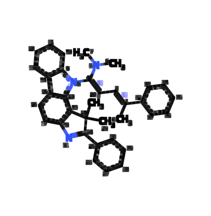 C/C(=C\C=C(/N(C)C)n1c2ccccc2c2ccc3c(c21)C(C)(C)C(c1ccccc1)=N3)c1ccccc1